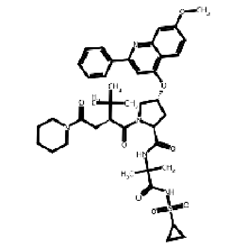 COc1ccc2c(O[C@@H]3C[C@@H](C(=O)NC(C)(C)C(=O)NS(=O)(=O)C4CC4)N(C(=O)[C@@H](CC(=O)N4CCCCC4)C(C)(C)C)C3)cc(-c3ccccc3)nc2c1